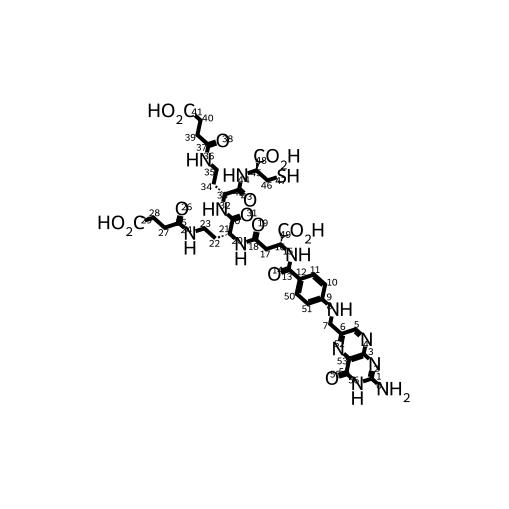 Nc1nc2ncc(CNc3ccc(C(=O)N[C@H](CC(=O)N[C@H](CCNC(=O)CCC(=O)O)C(=O)N[C@H](CCNC(=O)CCC(=O)O)C(=O)N[C@H](CS)C(=O)O)C(=O)O)cc3)nc2c(=O)[nH]1